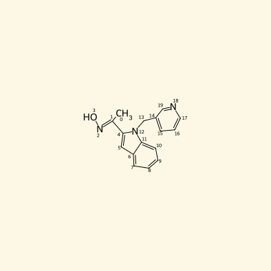 CC(=NO)c1cc2ccccc2n1Cc1cccnc1